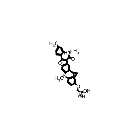 CNC(=O)c1c(-c2ccc(C)cc2)oc2cc(N(C)c3ccc(OCB(O)O)cc3)c(C3CC3)cc12